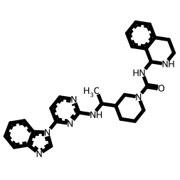 CC(Nc1nccc(-n2cnc3ccccc32)n1)C1CCCN(C(=O)NC2NCCc3ccccc32)C1